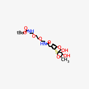 CC1OCC2(COc3ccc(CC(=O)NCCOCCOCCNC(=O)OC(C)(C)C)cc3S2)C(O)C1O